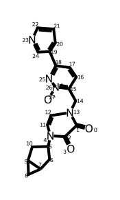 O=c1c(=O)n(C2CC3CC3C2)ccn1Cc1ccc(-c2cccnc2)n[n+]1[O-]